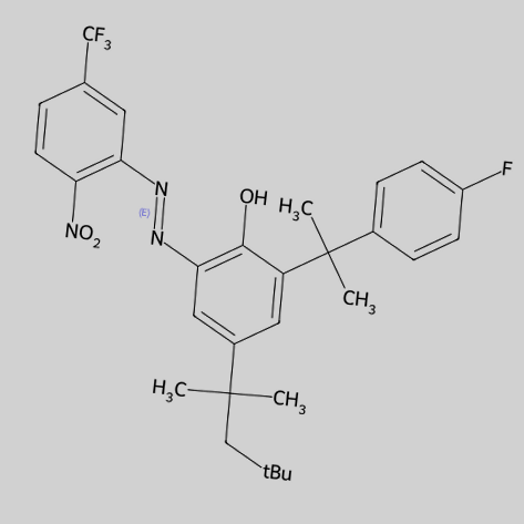 CC(C)(C)CC(C)(C)c1cc(/N=N/c2cc(C(F)(F)F)ccc2[N+](=O)[O-])c(O)c(C(C)(C)c2ccc(F)cc2)c1